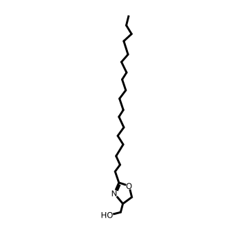 CCCCCCCCCCCCCCCCCCC1=NC(CO)CO1